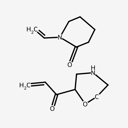 C=CC(=O)C1CNCCO1.C=CN1CCCCC1=O